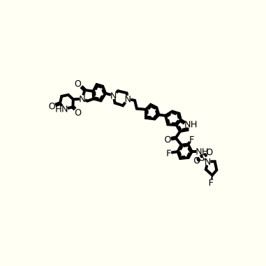 O=C1CCC(N2Cc3cc(N4CCN(CCc5ccc(-c6ccc7[nH]cc(C(=O)c8c(F)ccc(NS(=O)(=O)N9CC[C@@H](F)C9)c8F)c7c6)cc5)CC4)ccc3C2=O)C(=O)N1